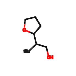 CC(C)(C)C(CO)C1CCCO1